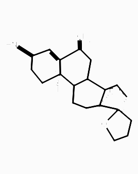 C=C1CC2C(CC[C@@]3(C)C2CC[C@@]32CCCO2)[C@H]2CCC(=N)C=C12